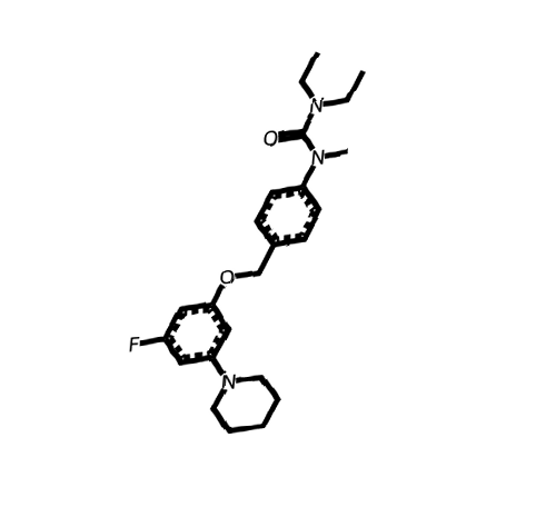 CCN(CC)C(=O)N(C)c1ccc(COc2cc(F)cc(N3CCCCC3)c2)cc1